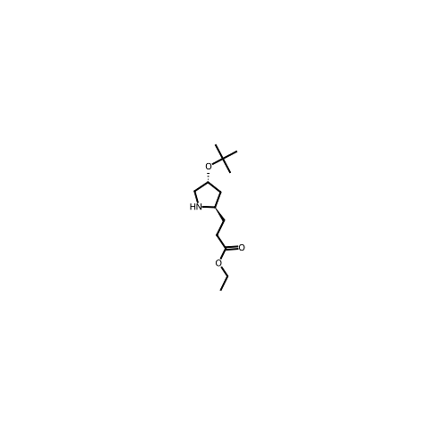 CCOC(=O)CC[C@@H]1C[C@@H](OC(C)(C)C)CN1